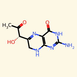 CC(=O)[C@@H](O)C1=Nc2c(nc(N)[nH]c2=O)NC1